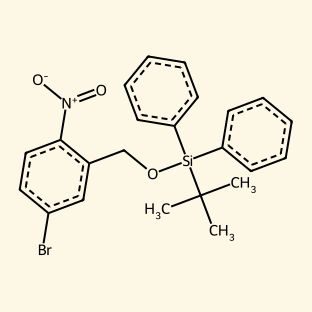 CC(C)(C)[Si](OCc1cc(Br)ccc1[N+](=O)[O-])(c1ccccc1)c1ccccc1